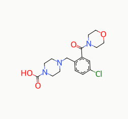 O=C(O)N1CCN(Cc2ccc(Cl)cc2C(=O)N2CCOCC2)CC1